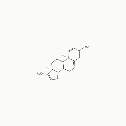 CC(=O)OC1=CCC2C3CC=C4CC(OC(C)=O)C=C[C@]4(C)C3CC[C@]12C